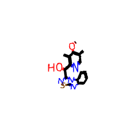 COc1c(C)cnc(C(O)c2nsc3nc4ccccc4n23)c1C